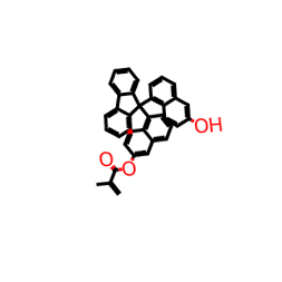 C=C(C)C(=O)Oc1ccc2c(C3(c4cccc5cc(O)ccc45)c4ccccc4-c4ccccc43)cccc2c1